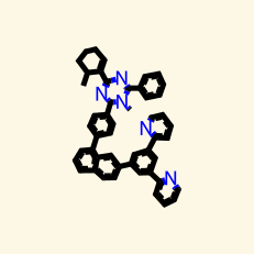 CC1CCCC=C1C1=NC(c2ccc(-c3cccc4ccc(-c5cc(-c6ccccn6)cc(-c6ccccn6)c5)cc34)cc2)N(C)C(c2ccccc2)=N1